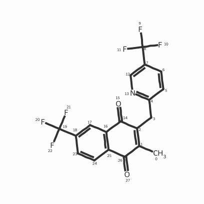 CC1=C(Cc2ccc(C(F)(F)F)cn2)C(=O)c2cc(C(F)(F)F)ccc2C1=O